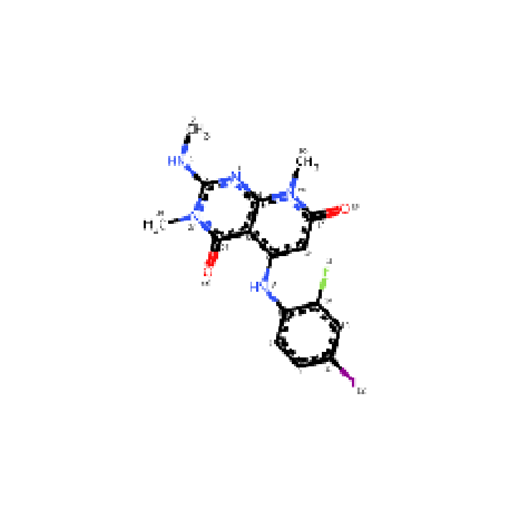 CNc1nc2c(c(Nc3ccc(I)cc3F)cc(=O)n2C)c(=O)n1C